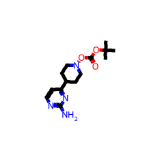 CC(C)(C)OC(=O)ON1CCC(c2ccnc(N)n2)CC1